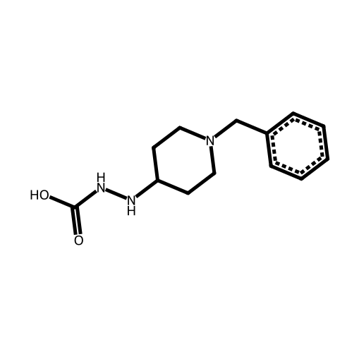 O=C(O)NNC1CCN(Cc2ccccc2)CC1